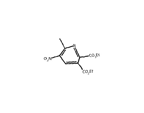 CCOC(=O)c1cc([N+](=O)[O-])c(C)nc1C(=O)OCC